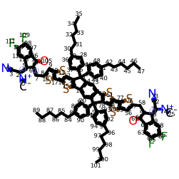 [C-]#[N+]/C(C#N)=C1\C(=C\c2cc3sc4c5c(sc4c3s2)-c2cc3c(cc2C5(c2ccc(CCCCCC)cc2)c2ccc(CCCCCC)cc2)-c2sc4c(sc5cc(CC6C(=O)c7cc(F)c(F)cc7/C6=C(/C#N)[N+]#[C-])sc54)c2C3(c2ccc(CCCCCC)cc2)c2ccc(CCCCCC)cc2)C(=O)c2cc(F)c(F)cc21